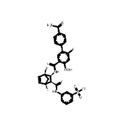 COc1cc(F)c(-c2ccc(C(N)=O)cc2)cc1C(=O)N[C@H]1[C@@H](C(=O)Nc2cccc(S(=O)(=O)C(F)(F)F)c2)[C@@H]2C=C[C@H]1C2